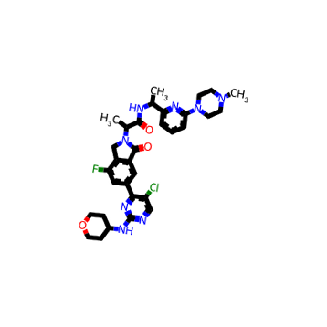 CC(NC(=O)C(C)N1Cc2c(F)cc(-c3nc(NC4CCOCC4)ncc3Cl)cc2C1=O)c1cccc(N2CCN(C)CC2)n1